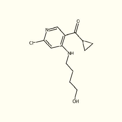 O=C(c1cnc(Cl)cc1NCCCCO)C1CC1